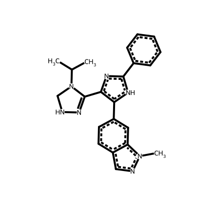 CC(C)N1CNN=C1c1nc(-c2ccccc2)[nH]c1-c1ccc2cnn(C)c2c1